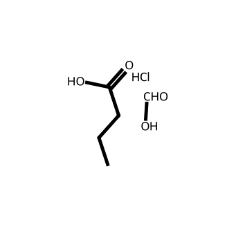 CCCC(=O)O.Cl.O=CO